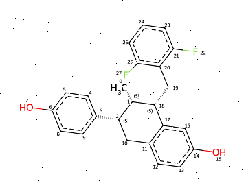 C[C@H]1[C@@H](c2ccc(O)cc2)Cc2ccc(O)cc2[C@H]1Cc1c(F)cccc1F